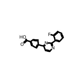 O=C(O)c1ccc(-c2ccnc(-c3ccccc3F)n2)cc1